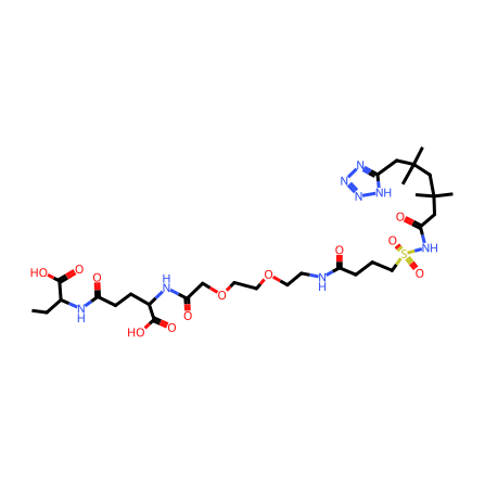 CCC(NC(=O)CCC(NC(=O)COCCOCCNC(=O)CCCS(=O)(=O)NC(=O)CC(C)(C)CC(C)(C)Cc1nnn[nH]1)C(=O)O)C(=O)O